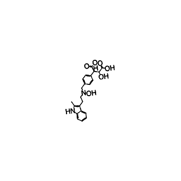 Cc1[nH]c2ccccc2c1CCN(O)Cc1ccc(C(C(=O)O)C(O)C(=O)O)cc1